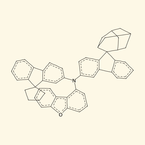 c1ccc2c(c1)-c1ccc(N(c3ccc4c(c3)-c3ccccc3C43C4CC5CC(C4)CC3C5)c3cccc4oc5ccccc5c34)cc1C21CCCC1